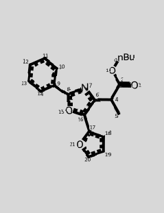 CCCCOC(=O)C(C)c1nc(-c2ccccc2)oc1-c1ccco1